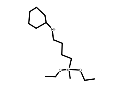 CCO[Si](C)(CCCCNC1CCCCC1)OCC